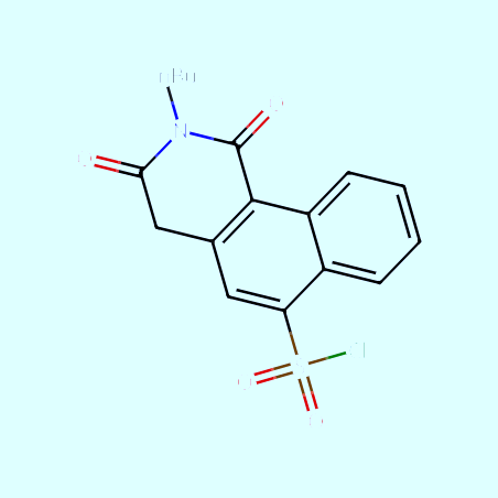 CCCCN1C(=O)Cc2cc(S(=O)(=O)Cl)c3ccccc3c2C1=O